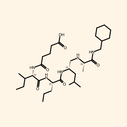 CCC[C@H](NC(=O)[C@@H](NC(=O)CCCC(=O)O)C(C)CC)C(=O)N[C@H](CN[C@@H](C)C(=O)NCC1CCCCC1)CC(C)C